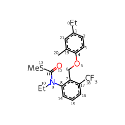 CCc1ccc(OCc2c(N(CC)C(=O)SC)cccc2C(F)(F)F)c(C)c1